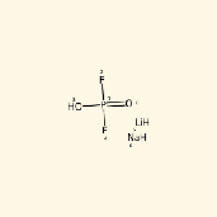 O=P(O)(F)F.[LiH].[NaH]